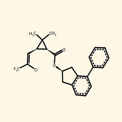 CC1(C)[C@H](C=C(Cl)C(F)(F)F)[C@@H]1C(=O)O[C@@H]1Cc2cccc(-c3ccccc3)c2C1